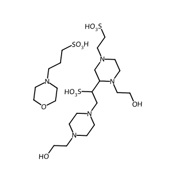 O=S(=O)(O)CCCN1CCOCC1.O=S(=O)(O)CCN1CCN(CCO)C(C(CN2CCN(CCO)CC2)S(=O)(=O)O)C1